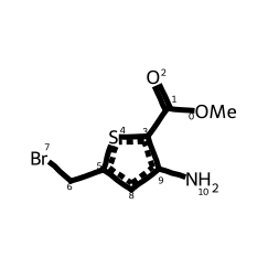 COC(=O)c1sc(CBr)cc1N